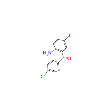 Nc1ccc(I)cc1C(=O)c1ccc(Cl)cc1